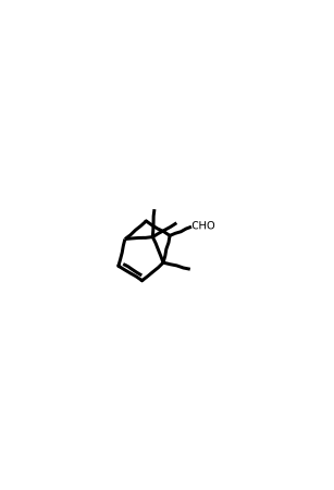 CC1(C)C2C=CC1(C)C(C=O)C2